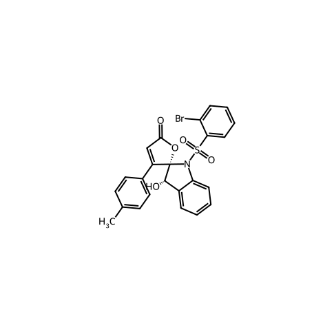 Cc1ccc(C2=CC(=O)O[C@]23[C@@H](O)c2ccccc2N3S(=O)(=O)c2ccccc2Br)cc1